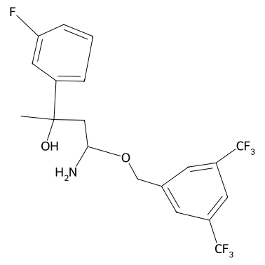 CC(O)(CC(N)OCc1cc(C(F)(F)F)cc(C(F)(F)F)c1)c1cccc(F)c1